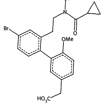 CCN(CCc1cc(Br)ccc1-c1cc(CC(=O)O)ccc1OC)C(=O)C1CC1